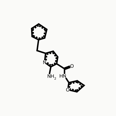 Nc1nc(Cc2ccccc2)ccc1C(=O)Nc1ccco1